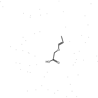 CC=COCC(=O)O